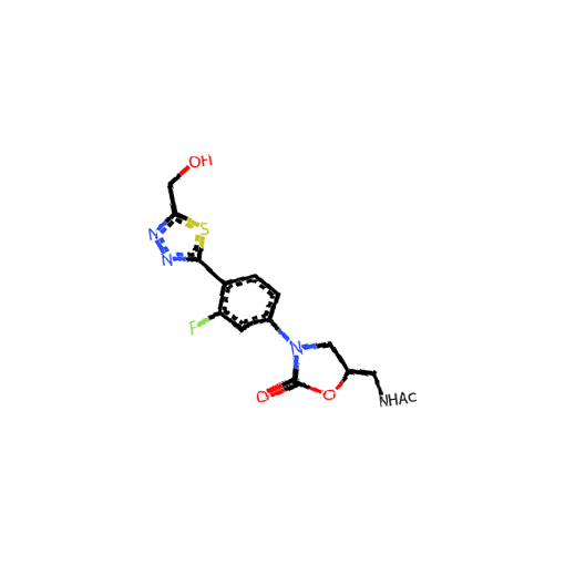 CC(=O)NCC1CN(c2ccc(-c3nnc(CO)s3)c(F)c2)C(=O)O1